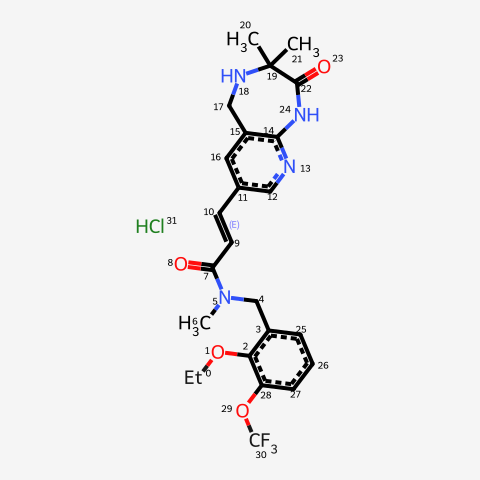 CCOc1c(CN(C)C(=O)/C=C/c2cnc3c(c2)CNC(C)(C)C(=O)N3)cccc1OC(F)(F)F.Cl